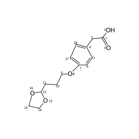 O=C(O)Cc1ccc(OCCCC2OCCO2)cc1